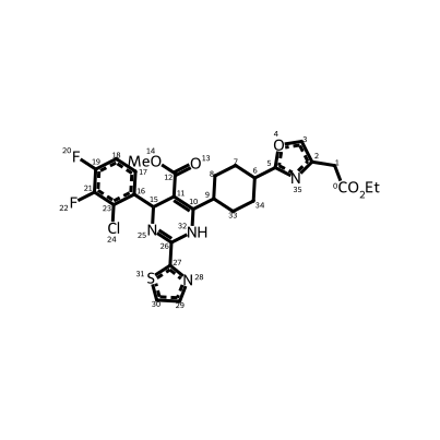 CCOC(=O)Cc1coc(C2CCC(C3=C(C(=O)OC)C(c4ccc(F)c(F)c4Cl)N=C(c4nccs4)N3)CC2)n1